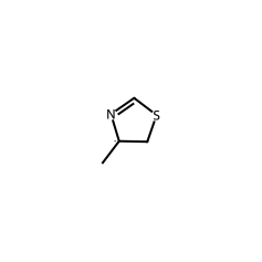 C[C]1CSC=N1